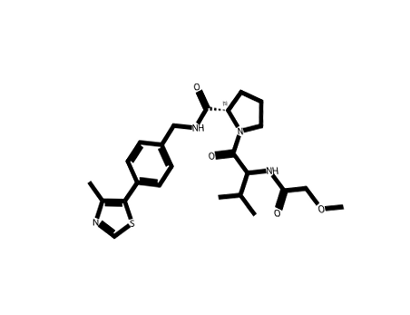 COCC(=O)NC(C(=O)N1CCC[C@H]1C(=O)NCc1ccc(-c2scnc2C)cc1)C(C)C